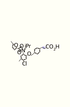 Cc1ccc(S(=O)(=O)N(CC(C)C)c2cc(C)c(Cl)cc2OCc2ccc(/C=C/C(=O)O)cc2)o1